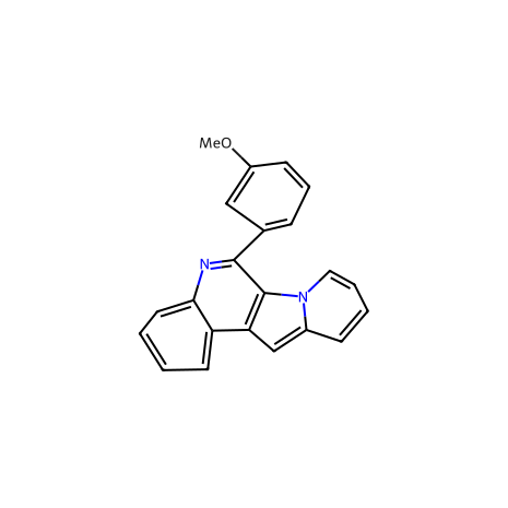 COc1cccc(-c2nc3ccccc3c3cc4ccccn4c23)c1